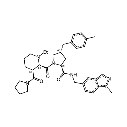 CCN1CCC[C@H](C(=O)N2CCCC2)[C@@H]1C(=O)N1C[C@H](Cc2ccc(C)cc2)C[C@H]1C(=O)NCc1ccc2c(cnn2C)c1